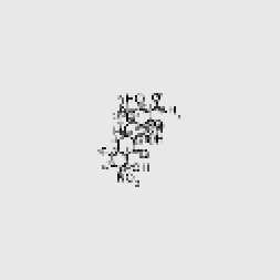 Cc1c(F)c2c(c(O)c1[N+](=O)[O-])C(=O)C1=C(O)[C@]3(O)C(=O)C(C(N)=O)=C(O)[C@@H](N(C)C)[C@@H]3C[C@@H]1C2